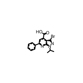 CC(C)n1nc(Br)c2c(C(=O)O)cc(-c3ccccc3)nc21